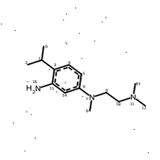 CC(C)c1ccc(N(C)CCN(C)C)cc1N